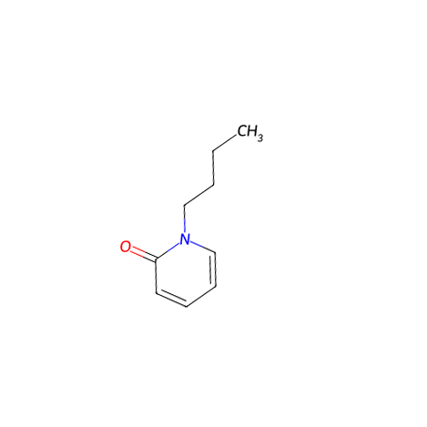 CCCCn1ccccc1=O